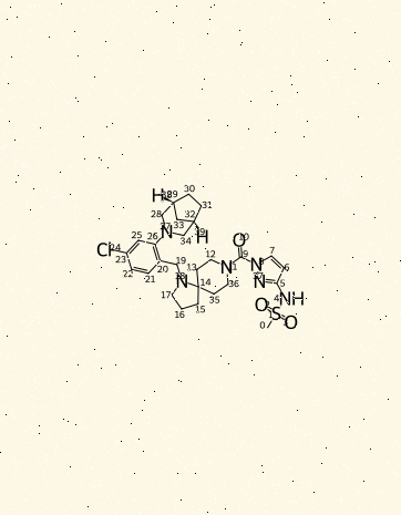 CS(=O)(=O)Nc1ccn(C(=O)N2CCC3(CCCN3Cc3ccc(Cl)cc3N3C[C@@H]4CC[C@@H](C4)C3)CC2)n1